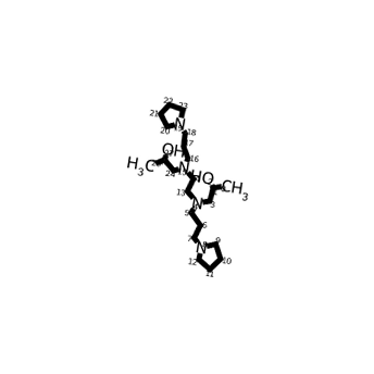 CC(O)CN(CCCN1CCCC1)CCN(CCCN1CCCC1)CC(C)O